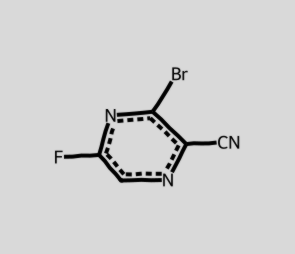 N#Cc1ncc(F)nc1Br